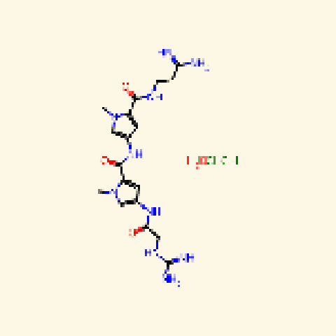 Cl.Cl.Cn1cc(NC(=O)c2cc(NC(=O)CNC(=N)N)cn2C)cc1C(=O)NCCC(=N)N.O